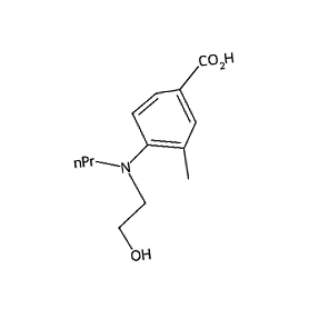 CCCN(CCO)c1ccc(C(=O)O)cc1C